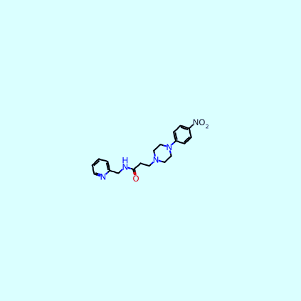 O=C(CCN1CCN(c2ccc([N+](=O)[O-])cc2)CC1)NCc1ccccn1